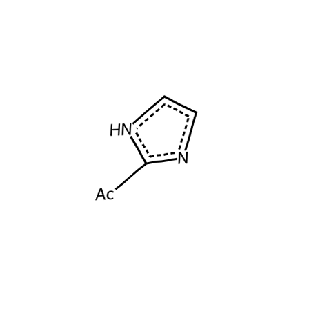 [CH]C(=O)c1ncc[nH]1